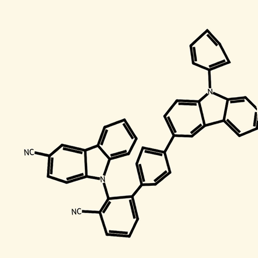 N#Cc1ccc2c(c1)c1ccccc1n2-c1c(C#N)cccc1-c1ccc(-c2ccc3c(c2)c2ccccc2n3-c2ccccc2)cc1